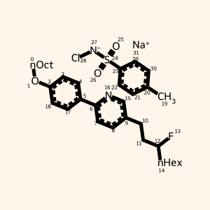 CCCCCCCCOc1ccc(-c2ccc(CCC(F)CCCCCC)cn2)cc1.Cc1ccc(S(=O)(=O)[N-]Cl)cc1.[Na+]